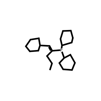 CCC/C(=C\C1CCCCC1)P(C1CCCCC1)C1CCCCC1